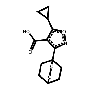 O=C(O)c1c(C23CCC(CC2)CC3)noc1C1CC1